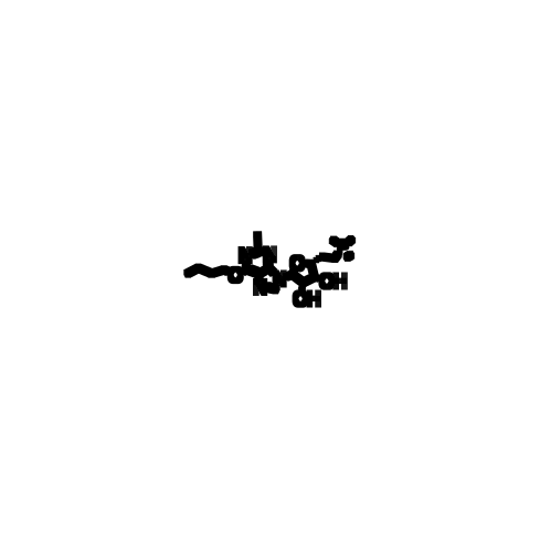 C=P(C)(C)CC[C@H]1OC(n2cnc3c(OCCCC)nc(C)nc32)[C@H](O)[C@@H]1O